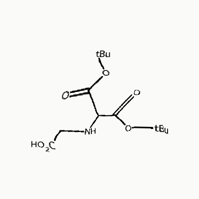 CC(C)(C)OC(=O)C(NCC(=O)O)C(=O)OC(C)(C)C